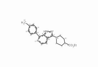 CCOC(=O)C1CCN(c2n[nH]c3c(-c4ccc(C)cc4)nccc23)CC1